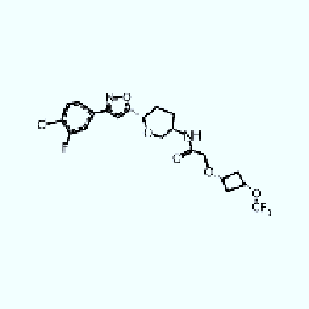 O=C(CO[C@H]1C[C@@H](OC(F)(F)F)C1)N[C@@H]1CC[C@@H](c2cc(-c3ccc(Cl)c(F)c3)no2)OC1